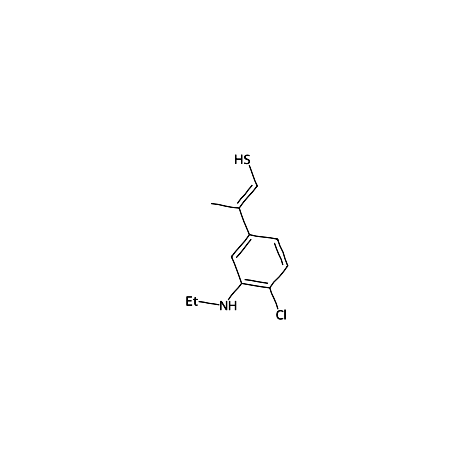 CCNc1cc(/C(C)=C/S)ccc1Cl